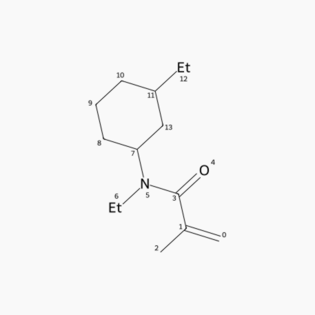 C=C(C)C(=O)N(CC)C1CCCC(CC)C1